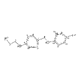 FCCOc1ccc(COc2ccc(I)cn2)cc1